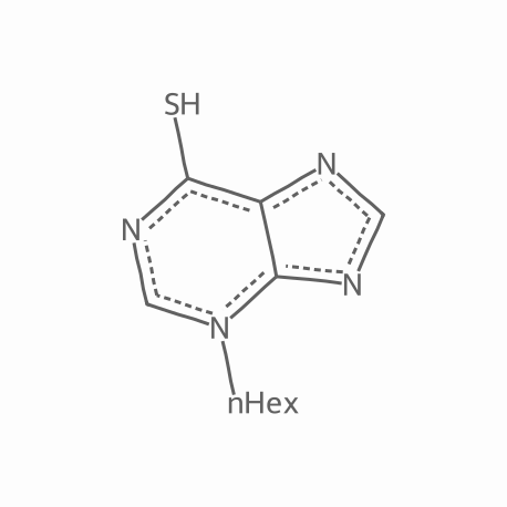 CCCCCCn1cnc(S)c2ncnc1-2